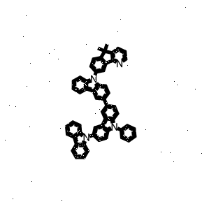 CC1(C)c2ccc(-n3c4ccccc4c4cc(-c5ccc6c(c5)c5cc(-n7c8ccccc8c8ccccc87)ccc5n6-c5ccccc5)ccc43)cc2-c2ncccc21